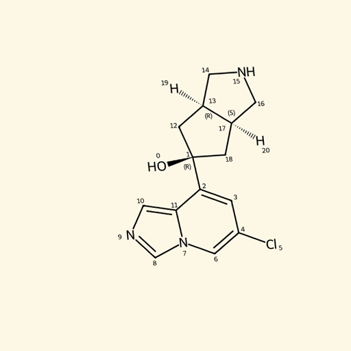 O[C@@]1(c2cc(Cl)cn3cncc23)C[C@H]2CNC[C@H]2C1